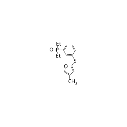 CCP(=O)(CC)c1cccc(Sc2cc(C)co2)c1